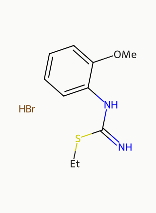 Br.CCSC(=N)Nc1ccccc1OC